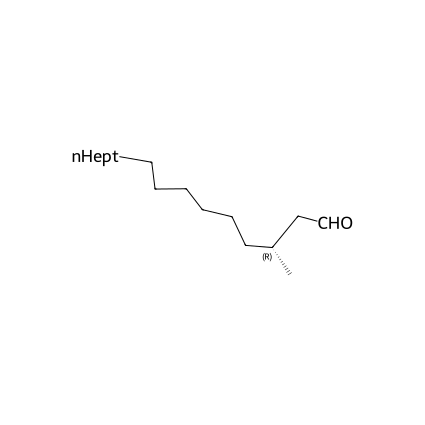 CCCCCCCCCCCCC[C@@H](C)CC=O